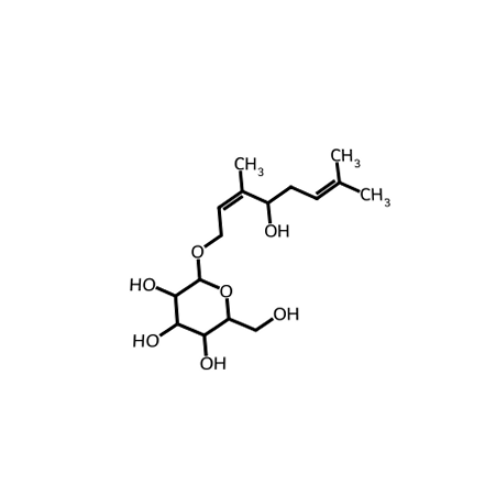 CC(C)=CCC(O)C(C)=CCOC1OC(CO)C(O)C(O)C1O